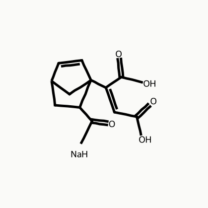 CC(=O)C1CC2C=CC1(/C(=C/C(=O)O)C(=O)O)C2.[NaH]